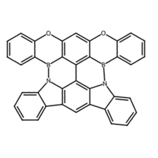 c1ccc2c(c1)Oc1cc3c4c5c1B2n1c2ccccc2c2cc6c7ccccc7n(c6c-5c21)B4c1ccccc1O3